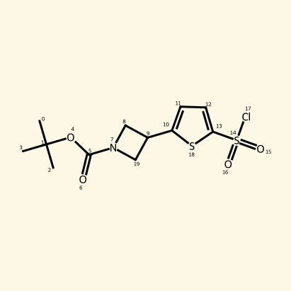 CC(C)(C)OC(=O)N1CC(c2ccc(S(=O)(=O)Cl)s2)C1